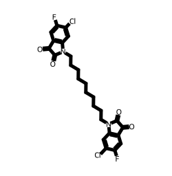 O=C1C(=O)N(CCCCCCCCCCN2C(=O)C(=O)c3cc(F)c(Cl)cc32)c2cc(Cl)c(F)cc21